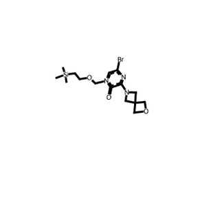 C[Si](C)(C)CCOCn1cc(Br)nc(N2CC3(COC3)C2)c1=O